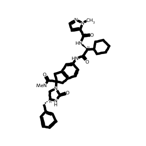 CNC(=O)C1(N2C[C@@H](Cc3ccccc3)NC2=O)Cc2ccc(NC(=O)[C@@H](NC(=O)c3ccnn3C)C3CCCCC3)cc2C1